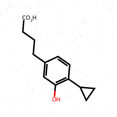 O=C(O)CCCc1ccc(C2CC2)c(O)c1